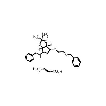 CC1(C)O[C@@H]2[C@H](O1)[C@@H](OCCOCc1ccccc1)C[C@H]2NCc1ccccc1.O=C(O)C=CC(=O)O